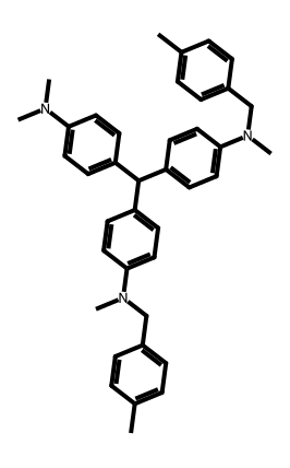 Cc1ccc(CN(C)c2ccc(C(c3ccc(N(C)C)cc3)c3ccc(N(C)Cc4ccc(C)cc4)cc3)cc2)cc1